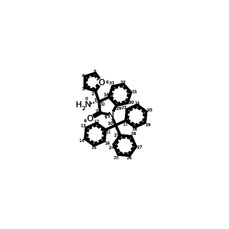 N[C@@]1(c2ccco2)C(=O)N(C(c2ccccc2)(c2ccccc2)c2ccccc2)c2ccccc21